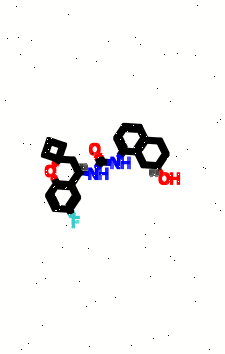 O=C(Nc1cccc2c1C[C@@H](O)CC2)N[C@@H]1CC2(CCC2)Oc2ccc(F)cc21